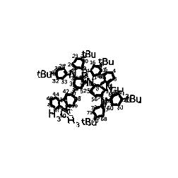 Cn1c2ccccc2c2c(N3c4ccc(C(C)(C)C)cc4B4c5cc(C(C)(C)C)ccc5N(c5ccc(C(C)(C)C)cc5)c5cc(-c6ccc7c(c6)-c6ccccc6C7(C)C)cc3c54)ccc(N(c3ccc(C(C)(C)C)cc3)c3ccc(C(C)(C)C)cc3)c21